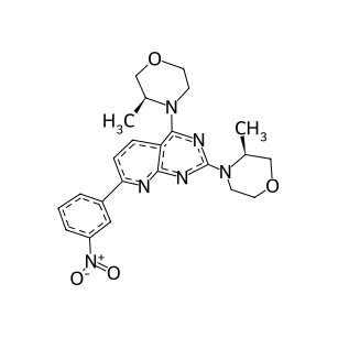 C[C@H]1COCCN1c1nc(N2CCOC[C@@H]2C)c2ccc(-c3cccc([N+](=O)[O-])c3)nc2n1